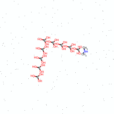 CNC.OB(O)O.OB(O)O.OB(O)O.OB(O)O.OB(O)O.OB(O)O.OB(O)O.OB(O)O.OB(O)O